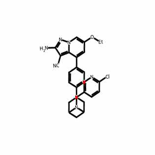 CCOc1cc(-c2ccc(N3CC4CC(C3)N4Cc3ccc(Cl)nc3)nc2)c2c(C#N)c(N)nn2c1